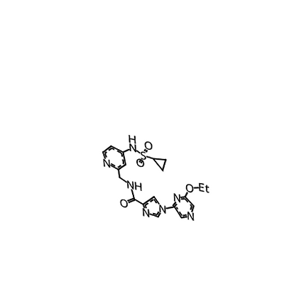 CCOc1cncc(-n2cnc(C(=O)NCc3cc(NS(=O)(=O)C4CC4)ccn3)c2)n1